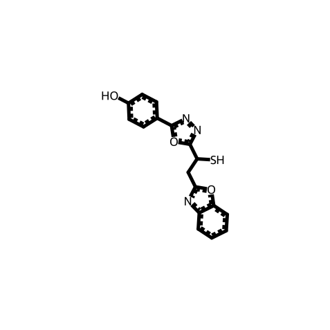 Oc1ccc(-c2nnc(C(S)Cc3nc4ccccc4o3)o2)cc1